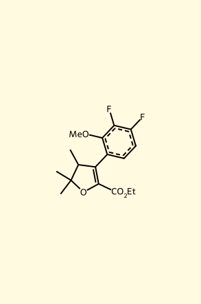 CCOC(=O)C1=C(c2ccc(F)c(F)c2OC)C(C)C(C)(C)O1